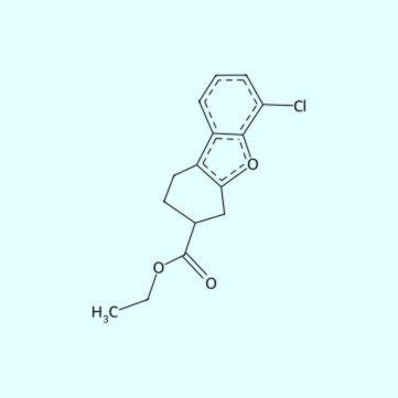 CCOC(=O)C1CCc2c(oc3c(Cl)cccc23)C1